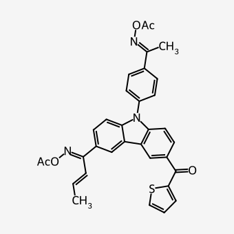 CC=C/C(=N\OC(C)=O)c1ccc2c(c1)c1cc(C(=O)c3cccs3)ccc1n2-c1ccc(C(C)=NOC(C)=O)cc1